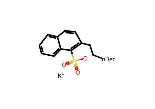 CCCCCCCCCCCCc1ccc2ccccc2c1S(=O)(=O)[O-].[K+]